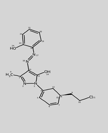 Cc1nn(C2=CC=C[C@H](CCCl)C2)c(O)c1N=Nc1ccccc1O